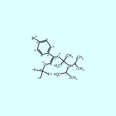 CC(C)[SiH](C(C)C)C(C)(C)OC(=COC(F)(F)F)c1ccc(Br)cc1